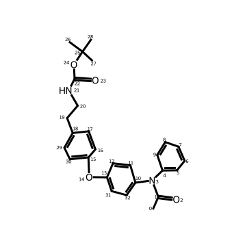 CC(=O)N(c1ccccc1)c1ccc(Oc2ccc(CCNC(=O)OC(C)(C)C)cc2)cc1